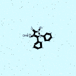 CCn1c(=O)c(NC=O)c(-c2ccccc2)n1-c1ccccc1